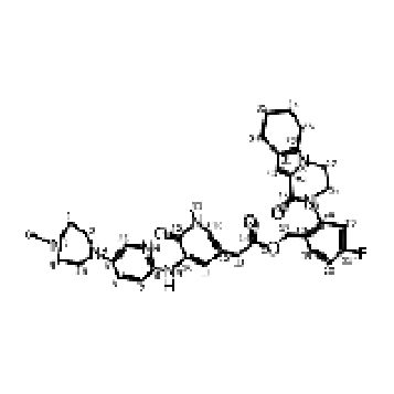 CN1CCN(c2ccc(Nc3cc(CC(=O)OCc4ccc(F)cc4N4CCn5c(cc6c5CCCC6)C4=O)cn(C)c3=O)nc2)CC1